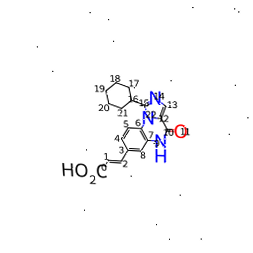 O=C(O)C=Cc1ccc2c(c1)[nH]c(=O)c1cnc(C3CCCCC3)n12